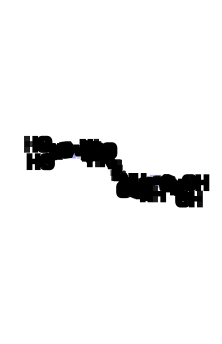 CNc1ccc(C(=O)NCCSSCCNC(=O)c2ccc3c(c2)C(C)(C)C(/C=C/c2ccc(N(CCO)CCO)cc2)=[N+]3C)cc1C(C)(C)C/C=C/c1ccc(N(CCO)CCO)cc1